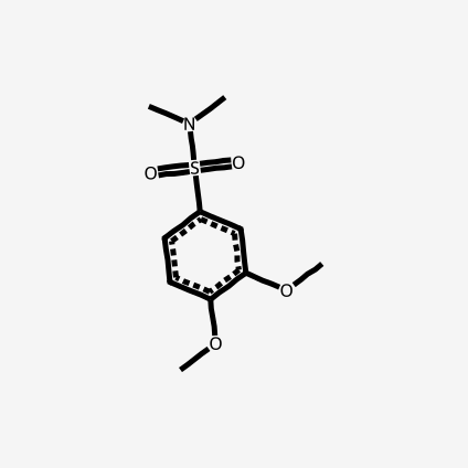 COc1ccc(S(=O)(=O)N(C)C)cc1OC